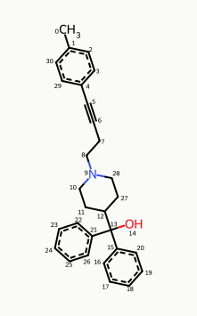 Cc1ccc(C#CCCN2CCC(C(O)(c3ccccc3)c3ccccc3)CC2)cc1